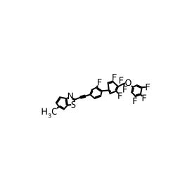 Cc1ccc2nc(C#Cc3ccc(-c4cc(F)c(C(F)(F)Oc5cc(F)c(F)c(F)c5)c(F)c4)c(F)c3)sc2c1